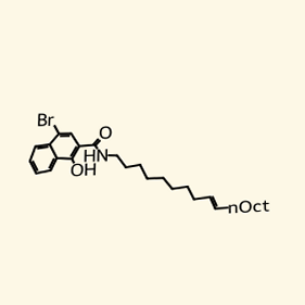 CCCCCCCCC=CCCCCCCCCNC(=O)c1cc(Br)c2ccccc2c1O